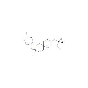 CC(C)CC1(CN2CCC3(CC2)CCC(C)(CN2CCN(C(C)C)CC2)CC3)CC1